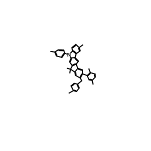 Cc1ccc(Cc2cc3c(cc2-c2cc(C)ccc2C)-c2cc4c5cc(C)ccc5n(-c5ccc(C)cc5)c4cc2C3(C)C)cc1